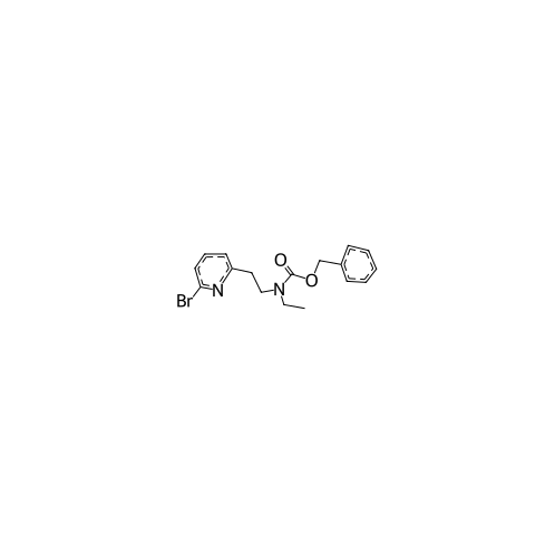 CCN(CCc1cccc(Br)n1)C(=O)OCc1ccccc1